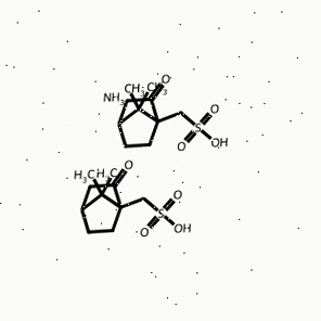 CC1(C)C2CCC1(CS(=O)(=O)O)C(=O)C2.CC1(C)C2CCC1(CS(=O)(=O)O)C(=O)C2.N